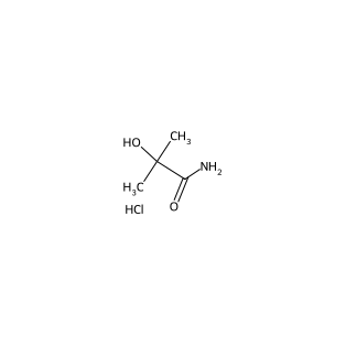 CC(C)(O)C(N)=O.Cl